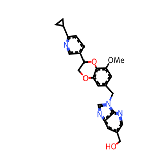 COc1cc(Cn2cnc3cc(CO)cnc32)cc2c1OC(c1ccc(C3CC3)nc1)CO2